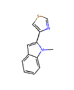 Cn1c(-c2cscn2)cc2cc[c]cc21